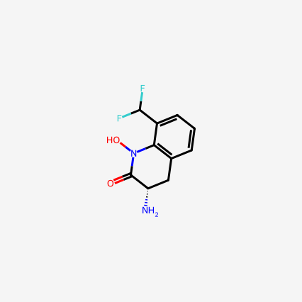 N[C@H]1Cc2cccc(C(F)F)c2N(O)C1=O